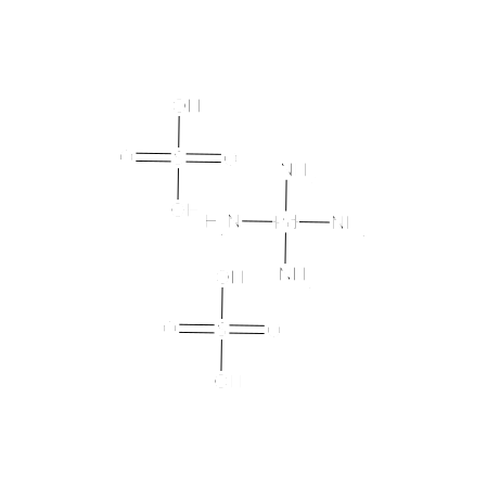 O=S(=O)(O)O.O=S(=O)(O)O.[NH2][Pd]([NH2])([NH2])[NH2]